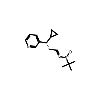 CC(C)(C)[S+]([O-])N=CC[C@H](c1cccnc1)C1CC1